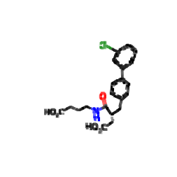 O=C(O)CCCNC(=O)[C@@H](CC(=O)O)Cc1ccc(-c2cccc(Cl)c2)cc1